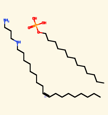 CCCCCCCC/C=C\CCCCCCCCNCCCN.CCCCCCCCCCCCCOP(=O)(O)O